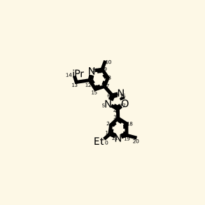 CCc1cc(-c2nc(-c3cc(C)nc(CC(C)C)c3)no2)cc(C)n1